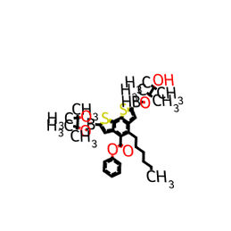 CCCCCCc1c(C(=O)Oc2ccccc2)c2cc(B3OC(C)(C)C(C)(C)O3)sc2c2sc(BOC(C)(C)C(C)(C)O)cc12